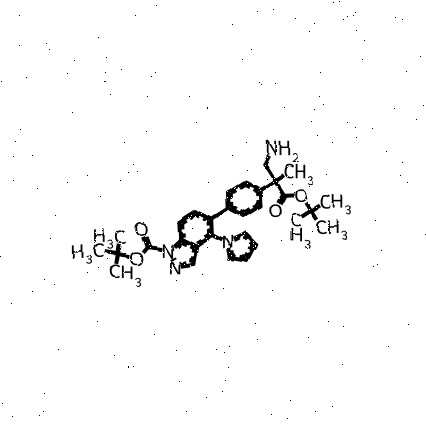 CC(C)(C)OC(=O)n1ncc2c(-n3cccc3)c(-c3ccc(C(C)(CN)C(=O)OC(C)(C)C)cc3)ccc21